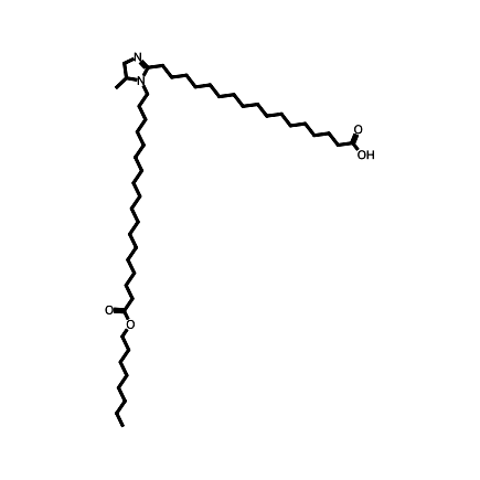 CCCCCCCCOC(=O)CCCCCCCCCCCCCCCCCN1C(CCCCCCCCCCCCCCCCC(=O)O)=NCC1C